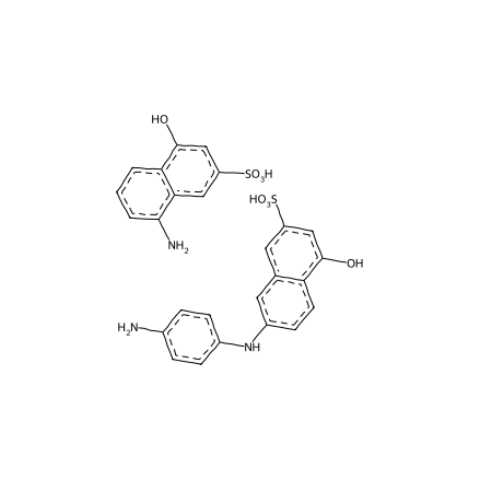 Nc1ccc(Nc2ccc3c(O)cc(S(=O)(=O)O)cc3c2)cc1.Nc1cccc2c(O)cc(S(=O)(=O)O)cc12